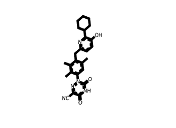 Cc1cc(-n2nc(C#N)c(=O)[nH]c2=O)c(C)c(C)c1Cc1ccc(O)c(C2CCCCC2)n1